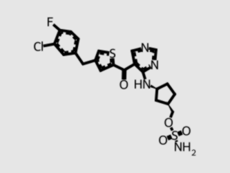 NS(=O)(=O)OC[C@@H]1CC[C@H](Nc2ncncc2C(=O)c2cc(Cc3ccc(F)c(Cl)c3)cs2)C1